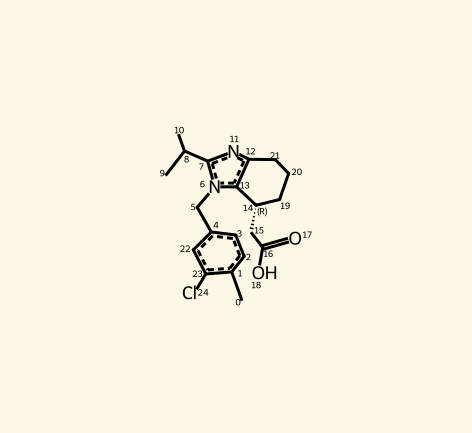 Cc1ccc(Cn2c(C(C)C)nc3c2[C@@H](CC(=O)O)CCC3)cc1Cl